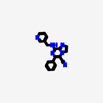 N#Cc1c(-c2ccccc2)nc(NCc2cccnc2)c2nccn12